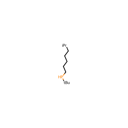 CC(C)CCCCCPC(C)(C)C